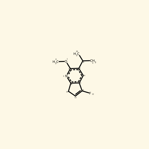 COc1nc2c(cc1C(C)C)C(F)=CC2